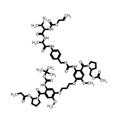 C=CCOC(=O)NC(C(=O)NC(C)C(=O)Nc1ccc(COC(=O)Nc2cc(OCCCOc3cc(NC(=O)OC(C)(C)C)c(C(=O)N4CCCC4OC(=O)CC)cc3OC)c(OC)cc2C(=O)N2CCCC2COC(C)=O)cc1)C(C)C